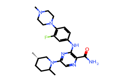 CC1CC[C@H](C)CN1c1cnc(C(N)=O)c(Nc2ccc(N3CCN(C)CC3)c(F)c2)n1